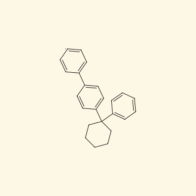 [c]1ccc(-c2ccc(C3(c4ccccc4)CCCCC3)cc2)cc1